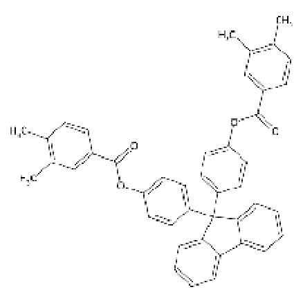 Cc1ccc(C(=O)Oc2ccc(C3(c4ccc(OC(=O)c5ccc(C)c(C)c5)cc4)c4ccccc4-c4ccccc43)cc2)cc1C